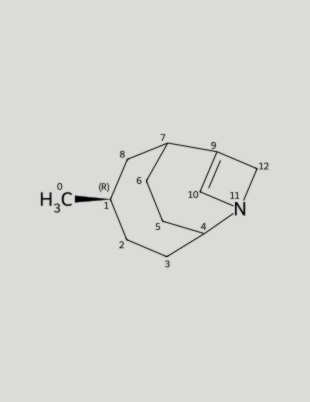 C[C@@H]1CCC2CCC(C1)C1=CN2C1